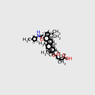 C=C(C)[C@@H]1CC[C@]2(CC(=O)NC3CC[C@H](C)C3)CC[C@]3(C)[C@H](CC[C@@H]4[C@@]5(C)CC[C@H](OC(=O)CC(C)(C)CC(=O)O)C(C)(C)[C@@H]5CC[C@]43C)[C@@H]12